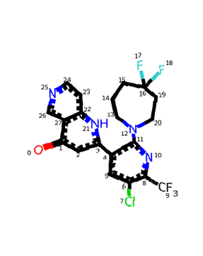 O=c1cc(-c2cc(Cl)c(C(F)(F)F)nc2N2CCCC(F)(F)CC2)[nH]c2ccncc12